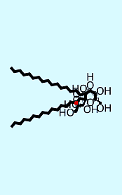 CCCCCCCCCCCCCCCC(=O)[C@@]1(O)[C@@H](O)[C@@H](O)[C@@H](CO)O[C@@]1(C(=O)CCCCCCCCCCCCCCC)C(O)[C@@H](O)CO